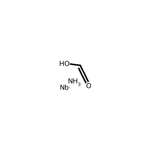 N.O=CO.[Nb]